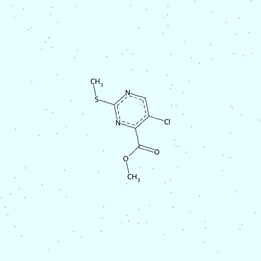 COC(=O)c1nc(SC)ncc1Cl